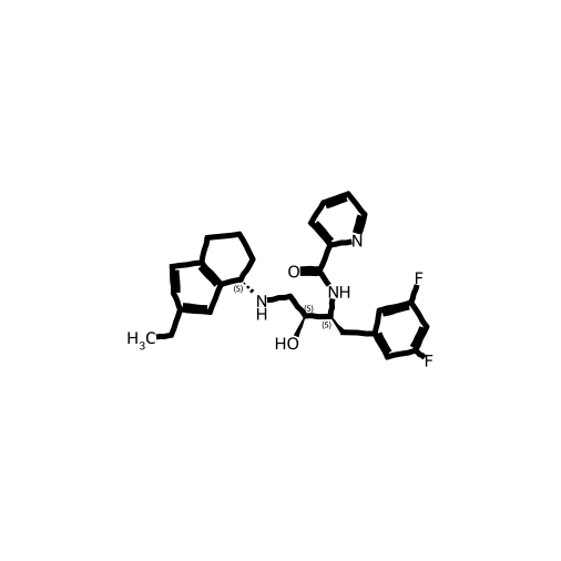 CCc1ccc2c(c1)[C@@H](NC[C@H](O)[C@H](Cc1cc(F)cc(F)c1)NC(=O)c1ccccn1)CCC2